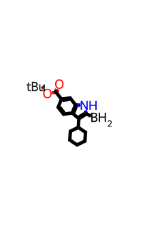 Bc1[nH]c2cc(C(=O)OC(C)(C)C)ccc2c1C1CCCCC1